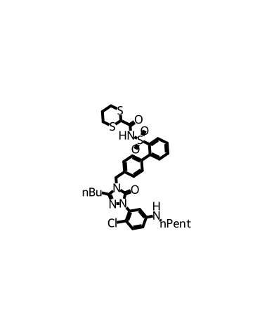 CCCCCNc1ccc(Cl)c(-n2nc(CCCC)n(Cc3ccc(-c4ccccc4S(=O)(=O)NC(=O)C4SCCCS4)cc3)c2=O)c1